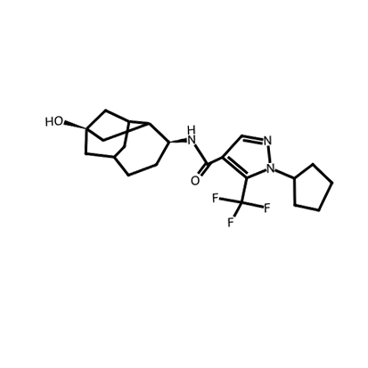 O=C(N[C@H]1CCC2CC3C[C@@](O)(C2)CC31)c1cnn(C2CCCC2)c1C(F)(F)F